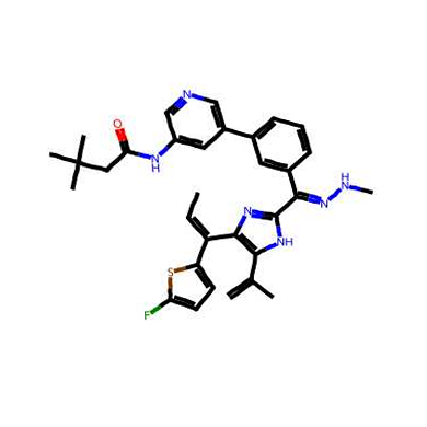 C=C(C)c1[nH]c(/C(=N/NC)c2cccc(-c3cncc(NC(=O)CC(C)(C)C)c3)c2)nc1/C(=C\C)c1ccc(F)s1